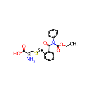 CCOC(=O)N(C(=O)c1ccccc1[Se]SC[C@H](N)C(=O)O)c1ccccc1